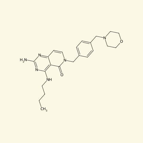 CCCCNc1nc(N)nc2ccn(Cc3ccc(CN4CCOCC4)cc3)c(=O)c12